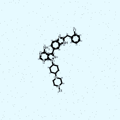 CCN1CCN(C2CCC(n3nc(-c4ccc5nc(Cc6ccccc6Cl)[nH]c5c4)c4c(N)ncnc43)CC2)CC1